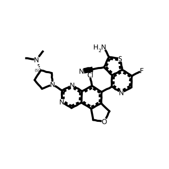 CN(C)[C@H]1CCN(c2ncc3c4c(c(-c5ncc(F)c6sc(N)c(C#N)c56)c(Cl)c3n2)COC4)C1